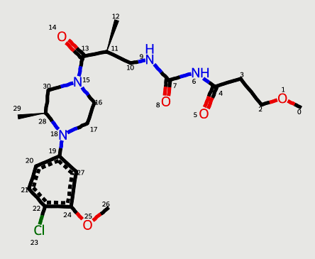 COCCC(=O)NC(=O)NC[C@H](C)C(=O)N1CCN(c2ccc(Cl)c(OC)c2)[C@@H](C)C1